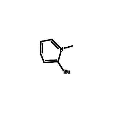 CCC(C)c1cccc[n+]1C